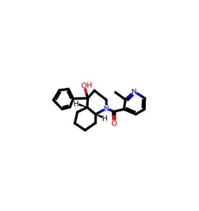 Cc1ncccc1C(=O)N1CCC(O)(c2ccccc2)[C@H]2CCCC[C@H]21